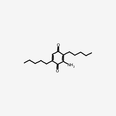 CCCCCC1=CC(=O)C(CCCCC)=C(N)C1=O